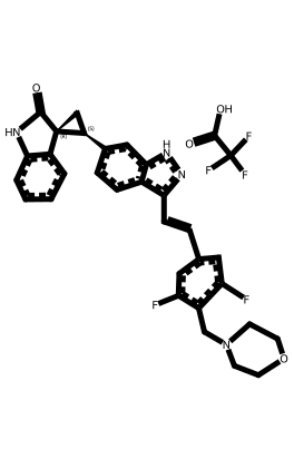 O=C(O)C(F)(F)F.O=C1Nc2ccccc2[C@]12C[C@H]2c1ccc2c(C=Cc3cc(F)c(CN4CCOCC4)c(F)c3)n[nH]c2c1